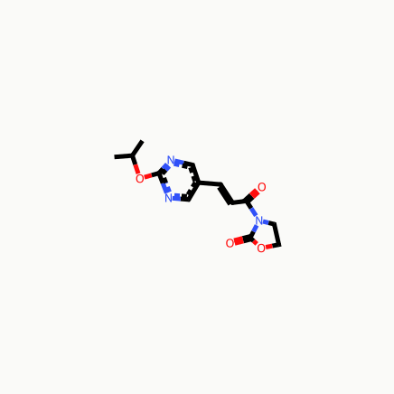 CC(C)Oc1ncc(/C=C/C(=O)N2CCOC2=O)cn1